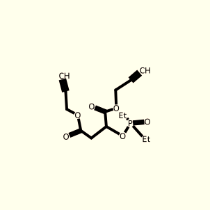 C#CCOC(=O)CC(OP(=O)(CC)CC)C(=O)OCC#C